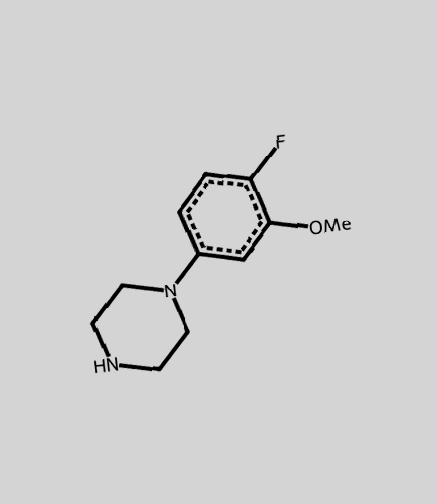 COc1cc(N2CCNCC2)ccc1F